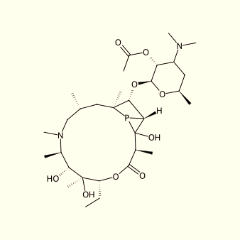 CC[C@H]1OC(=O)[C@H](C)C2(O)[C@H]3[C@@H](O[C@@H]4O[C@H](C)CC(N(C)C)[C@H]4OC(C)=O)[C@](C)(C[C@@H](C)CN(C)[C@H](C)[C@@H](O)[C@]1(C)O)P32